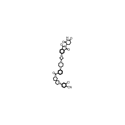 N#Cc1ccc(N2CCC3(CCN(C(=O)c4cccc(N5CCN(C6CN(c7ccc8c(c7)C(=O)N(C7CCC(=O)NC7=O)C8=O)C6)CC5)c4)C3)C2)cc1Cl